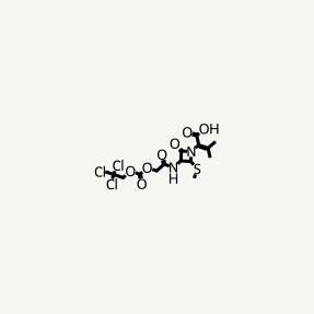 CSC1C(NC(=O)COC(=O)OCC(Cl)(Cl)Cl)C(=O)N1C(C(=O)O)=C(C)C